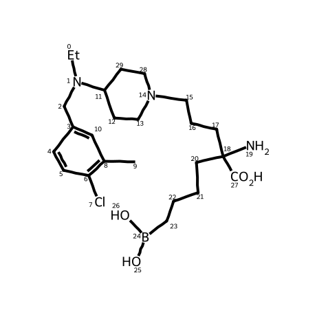 CCN(Cc1ccc(Cl)c(C)c1)C1CCN(CCCC(N)(CCCCB(O)O)C(=O)O)CC1